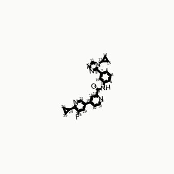 O=C(Nc1cccc(-c2nncn2C2CC2)c1)c1cc(-c2cnc(C3CC3)c(F)c2)ccn1